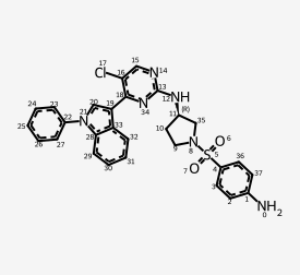 Nc1ccc(S(=O)(=O)N2CC[C@@H](Nc3ncc(Cl)c(-c4cn(-c5ccccc5)c5ccccc45)n3)C2)cc1